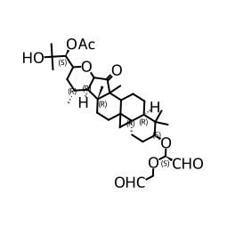 CC(=O)O[C@@H](C1C[C@@H](C)[C@H]2C(O1)C(=O)C1(C)C3CC[C@H]4C(C)(C)[C@@H](O[C@@H](C=O)OCC=O)CC[C@@]45CC35CC[C@]21C)C(C)(C)O